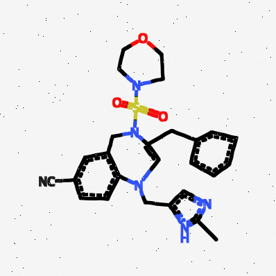 Cc1ncc(CN2C=C(Cc3ccccc3)N(S(=O)(=O)N3CCOCC3)Cc3cc(C#N)ccc32)[nH]1